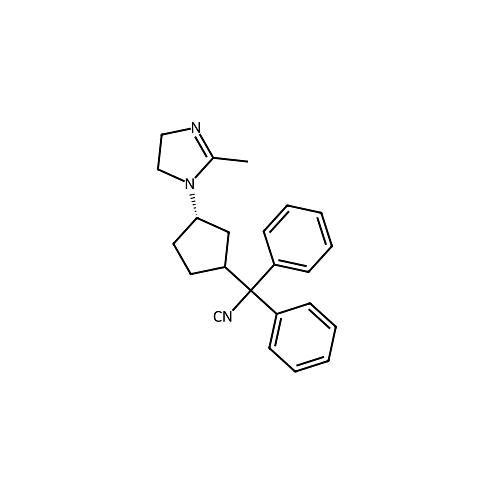 [C-]#[N+]C(c1ccccc1)(c1ccccc1)C1CC[C@H](N2CCN=C2C)C1